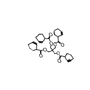 O=C(OCC(COC(=O)C1C#CCCC1)(COC(=O)C1C#CCCC1)COC(=O)C1C#CCCC1)C1C#CCCC1